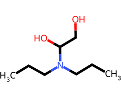 CCCN(CCC)C(O)CO